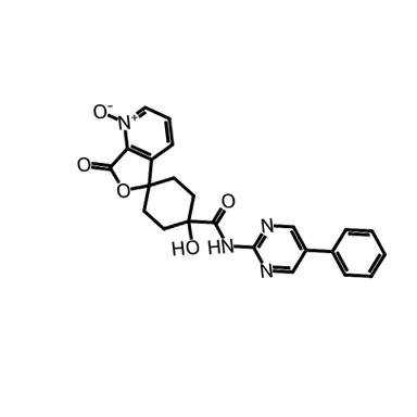 O=C1OC2(CCC(O)(C(=O)Nc3ncc(-c4ccccc4)cn3)CC2)c2ccc[n+]([O-])c21